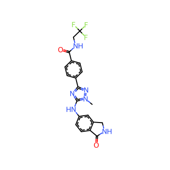 Cn1nc(-c2ccc(C(=O)NCC(F)(F)F)cc2)nc1Nc1ccc2c(c1)CNC2=O